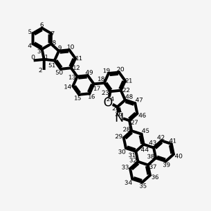 CC1(C)c2ccccc2-c2ccc(-c3cccc(-c4cccc5c4oc4nc(-c6ccc7c8ccccc8c8ccccc8c7c6)ccc45)c3)cc21